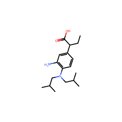 CCC(C(=O)O)c1ccc(N(CC(C)C)CC(C)C)c(N)c1